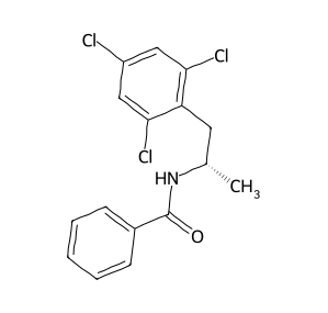 C[C@@H](Cc1c(Cl)cc(Cl)cc1Cl)NC(=O)c1ccccc1